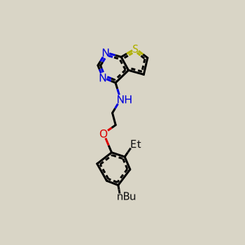 CCCCc1ccc(OCCNc2ncnc3sccc23)c(CC)c1